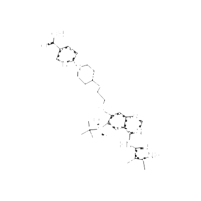 Cc1[nH]nc(Nc2ncnc3cc(OCCCC4CCN(c5ccc(C(=O)O)cn5)CC4)c(S(=O)(=O)C(C)(C)C)cc23)c1C